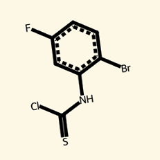 Fc1ccc(Br)c(NC(=S)Cl)c1